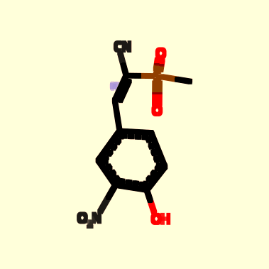 CS(=O)(=O)/C(C#N)=C\c1ccc(O)c([N+](=O)[O-])c1